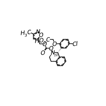 Cc1cc(COC(=O)ON2CCc3ccccc3[C@H]2c2cc(Cl)ccc2OCC(=O)O)on1